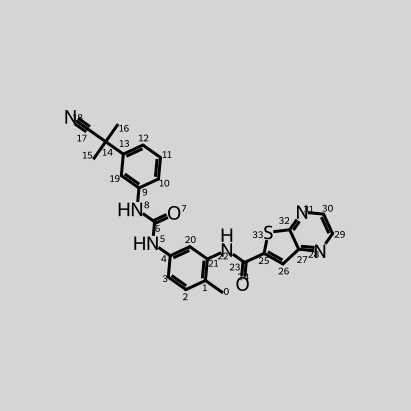 Cc1ccc(NC(=O)Nc2cccc(C(C)(C)C#N)c2)cc1NC(=O)c1cc2nccnc2s1